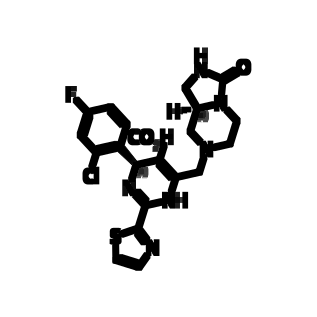 O=C(O)C1=C(CN2CCN3C(=O)NC[C@@H]3C2)NC(c2nccs2)=N[C@H]1c1ccc(F)cc1Cl